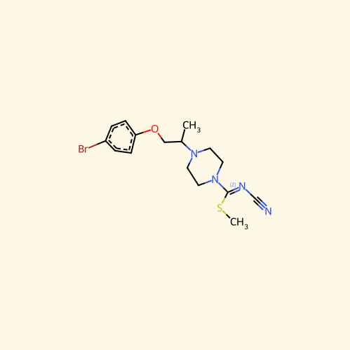 CS/C(=N\C#N)N1CCN(C(C)COc2ccc(Br)cc2)CC1